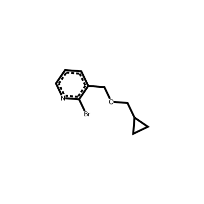 Brc1ncccc1COCC1CC1